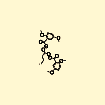 [CH2]CC[C](OOC(=O)c1cc(OC)ccc1OC)OOC(=O)c1cc(OC)ccc1OC